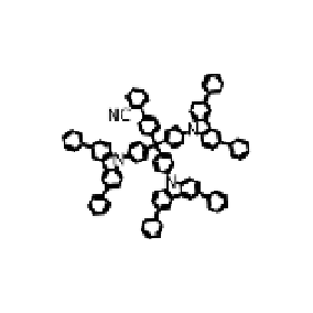 N#Cc1ccccc1-c1ccc(C(c2ccc(-n3c4ccc(-c5ccccc5)cc4c4cc(-c5ccccc5)ccc43)cc2)(c2ccc(-n3c4ccc(-c5ccccc5)cc4c4cc(-c5ccccc5)ccc43)cc2)c2ccc(-n3c4ccc(-c5ccccc5)cc4c4cc(-c5ccccc5)ccc43)cc2)cc1